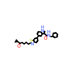 O=C(NCc1ccccc1)c1c[nH]c2ccc(-c3ccc4nc(CCCCC(=O)C5CC5)sc4c3)cc12